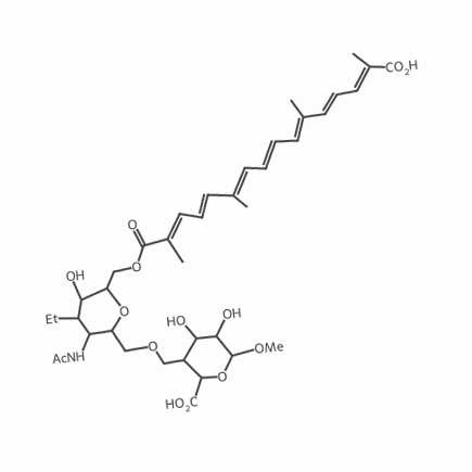 CCC1C(O)C(COC(=O)/C(C)=C/C=C/C(C)=C/C=C/C=C(C)/C=C/C=C(\C)C(=O)O)OC(COCC2C(C(=O)O)OC(OC)C(O)C2O)C1NC(C)=O